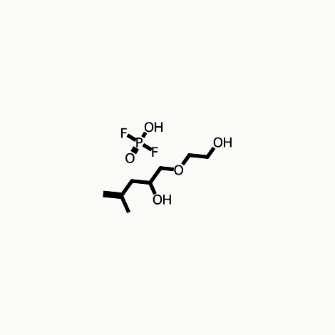 C=C(C)CC(O)COCCO.O=P(O)(F)F